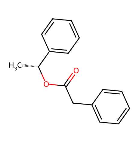 C[C@@H](OC(=O)Cc1ccccc1)c1ccccc1